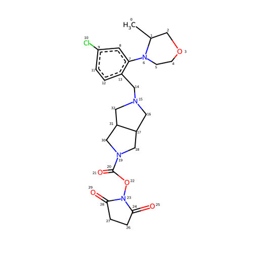 CC1COCCN1c1cc(Cl)ccc1CN1CC2CN(C(=O)ON3C(=O)CCC3=O)CC2C1